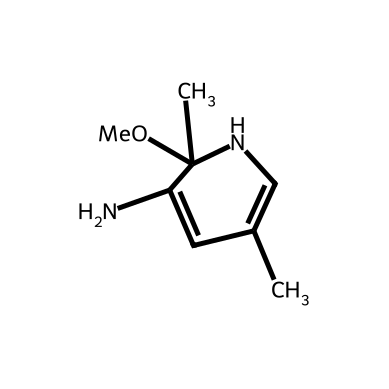 COC1(C)NC=C(C)C=C1N